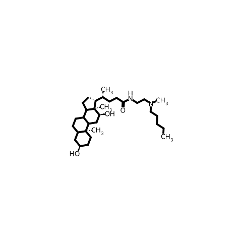 CCCCCN(C)CCNC(=O)CC[C@@H](C)[C@H]1CCC2C3CCC4C[C@H](O)CC[C@]4(C)C3C[C@H](O)[C@@]21C